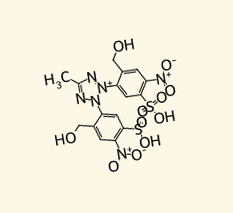 Cc1nn(-c2cc(S(=O)O)c([N+](=O)[O-])cc2CO)[n+](-c2cc(S(=O)(=O)O)c([N+](=O)[O-])cc2CO)n1